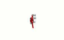 CCCCCCCC(=O)Nc1ncnc2c1ncn2[C@H](OC)[C@H](O)CCCO